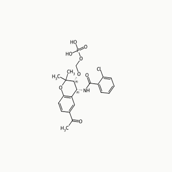 CC(=O)c1ccc2c(c1)[C@@H](NC(=O)c1ccccc1Cl)[C@@H](OCOP(=O)(O)O)C(C)(C)O2